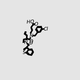 C=CCC1(C(=O)N(CCCC(=O)O)Cc2cccc(Cl)c2)CCN1C(=O)c1csc2ccccc12